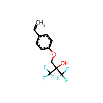 C=Cc1ccc(OCC(O)(C(F)(F)F)C(F)(F)F)cc1